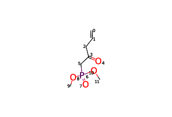 C=CCC(=O)CP(=O)(OC)OC